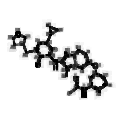 CC(=O)Nc1cc(Oc2ccc3nc(Nc4cc(C5CC5)cn(CC5CCOC5)c4=O)n(C)c3c2)ccn1